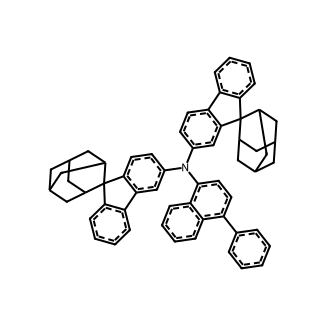 c1ccc(-c2ccc(N(c3ccc4c(c3)-c3ccccc3C43C4CC5CC(C4)CC3C5)c3ccc4c(c3)C3(c5ccccc5-4)C4CC5CC(C4)CC3C5)c3ccccc23)cc1